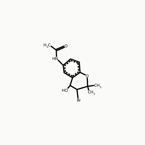 CC(=O)Nc1ccc2c(c1)C(O)C(Br)C(C)(C)O2